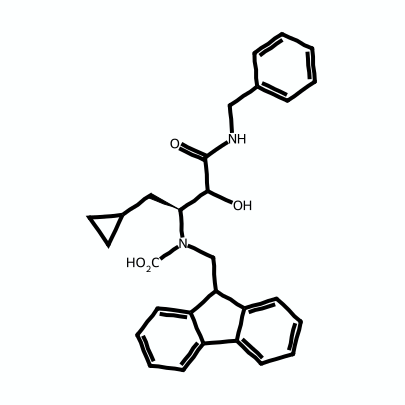 O=C(NCc1ccccc1)C(O)[C@H](CC1CC1)N(CC1c2ccccc2-c2ccccc21)C(=O)O